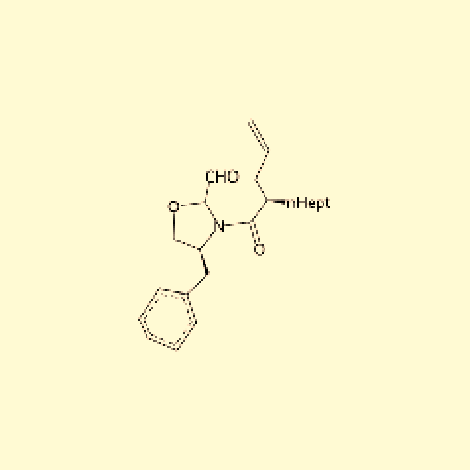 C=CC[C@@H](CCCCCCC)C(=O)N1C(C=O)OC[C@@H]1Cc1ccccc1